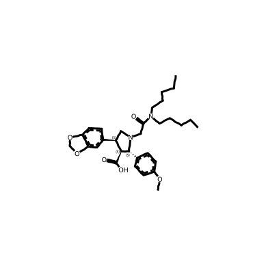 CCCCCN(CCCCC)C(=O)CN1C[C@H](c2ccc3c(c2)OCO3)[C@H](C(=O)O)[C@H]1c1ccc(OC)cc1